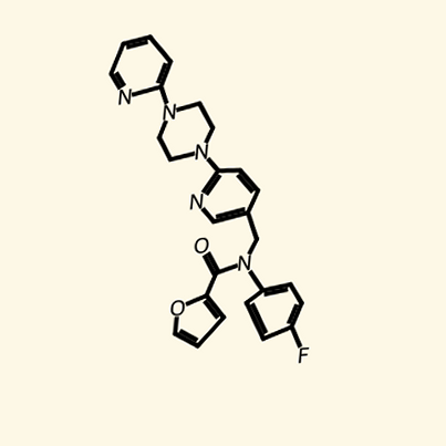 O=C(c1ccco1)N(Cc1ccc(N2CCN(c3ccccn3)CC2)nc1)c1ccc(F)cc1